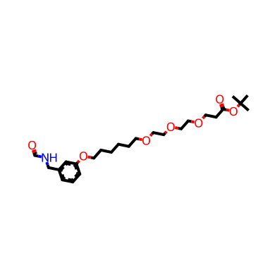 CC(C)(C)OC(=O)CCOCCOCCOCCCCCCOc1cccc(CNC=O)c1